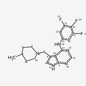 CC1CCN(Cc2c[nH]c3ncnc(Nc4cc(F)c(F)c(F)c4)c23)CC1